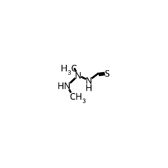 CNN(C)NC=S